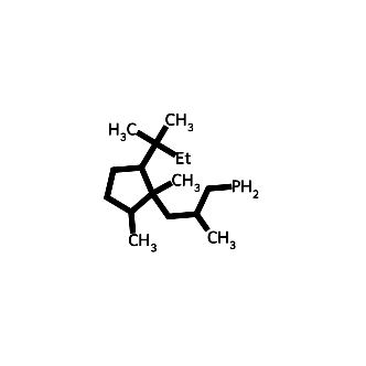 CCC(C)(C)C1CCC(C)C1(C)CC(C)CP